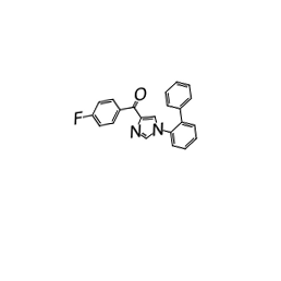 O=C(c1ccc(F)cc1)c1cn(-c2ccccc2-c2ccccc2)cn1